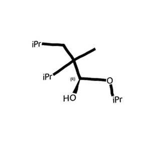 CC(C)CC(C)(C(C)C)[C@H](O)OC(C)C